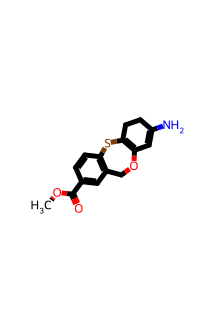 COC(=O)c1ccc2c(c1)COC1=C(CCC(N)=C1)S2